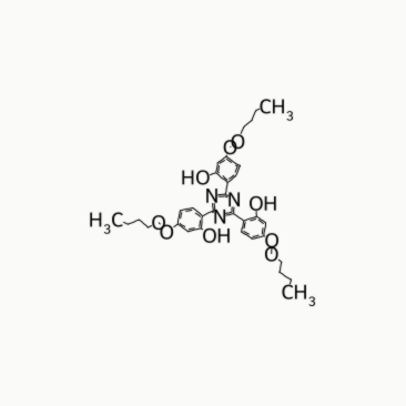 CCCCOOc1ccc(-c2nc(-c3ccc(OOCCCC)cc3O)nc(-c3ccc(OOCCCC)cc3O)n2)c(O)c1